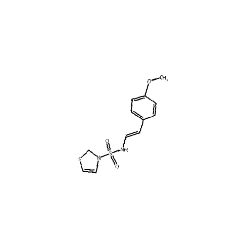 COc1ccc(/C=C/NS(=O)(=O)N2C=CSC2)cc1